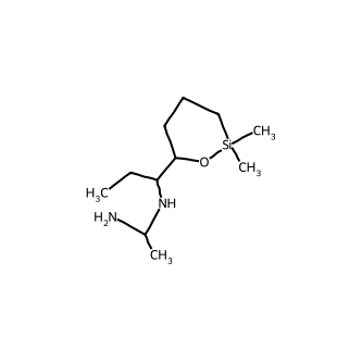 CCC(NC(C)N)C1CCC[Si](C)(C)O1